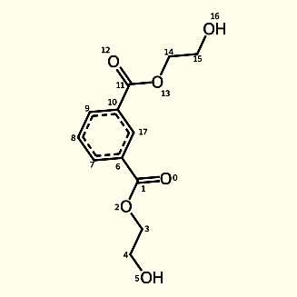 O=C(OCCO)c1cccc(C(=O)OCCO)c1